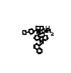 NC(=O)c1cccc2c1c1c(OC(C(=O)O)c3ccc(Cl)cc3)cccc1n2Cc1cccc2ccccc12